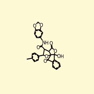 Cc1ccc(C2OC34C(=O)c5ccccc5C3(O)OC(=O)C4C2C(=O)Nc2ccc3c(c2)OCO3)cc1